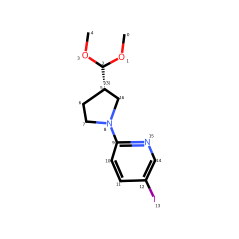 COC(OC)[C@H]1CCN(c2ccc(I)cn2)C1